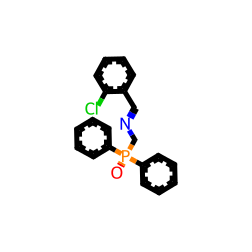 O=P(CN=Cc1ccccc1Cl)(c1ccccc1)c1ccccc1